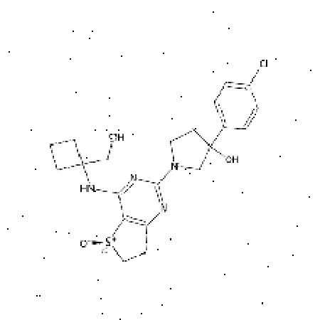 [O-][S@+]1CCc2nc(N3CCC(O)(c4ccc(Cl)cc4)C3)nc(NC3(CO)CCC3)c21